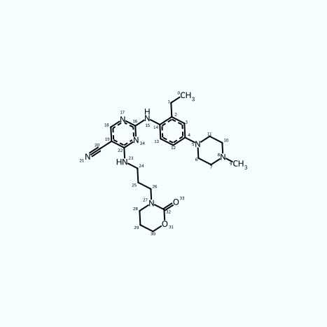 CCc1cc(N2CCN(C)CC2)ccc1Nc1ncc(C#N)c(NCCCN2CCCOC2=O)n1